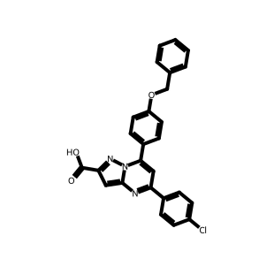 O=C(O)c1cc2nc(-c3ccc(Cl)cc3)cc(-c3ccc(OCc4ccccc4)cc3)n2n1